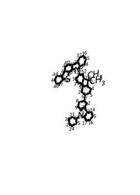 CC1(C)c2ccc(-c3ccc4c(c3)c3ccccc3n4-c3ccccc3)cc2-c2ccc(-n3c4ccccc4c4ccc5c6ccccc6sc5c43)cc21